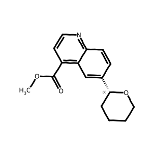 COC(=O)c1ccnc2ccc([C@H]3CCCCO3)cc12